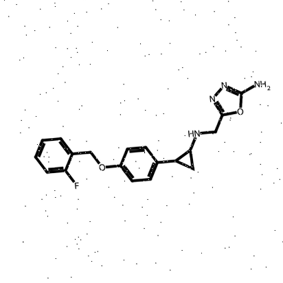 Nc1nnc(CNC2CC2c2ccc(OCc3ccccc3F)cc2)o1